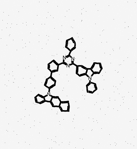 c1ccc(-c2nc(-c3cccc(-c4ccc(-n5c6ccccc6c6cc7ccccc7cc65)cc4)c3)nc(-c3ccc4c(c3)c3ccccc3n4-c3ccccc3)n2)cc1